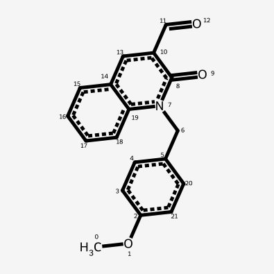 COc1ccc(Cn2c(=O)c(C=O)cc3ccccc32)cc1